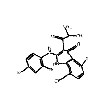 CC(C)C(=O)c1c(Nc2ccc(Br)cc2Br)[nH]c2c(Cl)ccc(Cl)c2c1=O